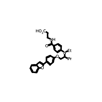 CCN(c1ccc(C(=O)NCCC(=O)O)cc1)C(COc1ccc(-c2cc3ccccc3o2)cc1)C(C)C